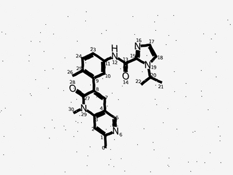 Cc1cc2c(cn1)cc(-c1cc(NC(=O)c3nccn3C(C)C)ccc1C)c(=O)n2C